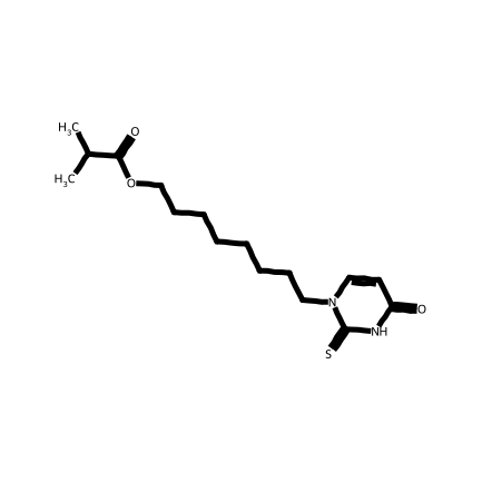 CC(C)C(=O)OCCCCCCCCn1ccc(=O)[nH]c1=S